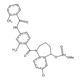 CO[PH](=O)OC1CCCN(C(=O)c2ccc(NC(=O)c3ccccc3C)cc2C)c2ccc(Cl)cc21